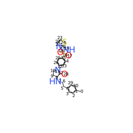 Cc1ccc(CCNC2CCN(c3ccc(S(=O)(=O)Nc4nccs4)cc3)C2=O)cc1